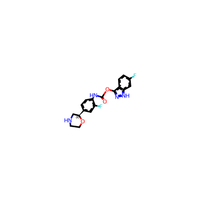 O=C(Nc1ccc([C@@H]2CNCCO2)cc1F)Oc1n[nH]c2cc(F)ccc12